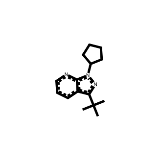 CC(C)(C)c1nn(C2CCCC2)c2ncccc12